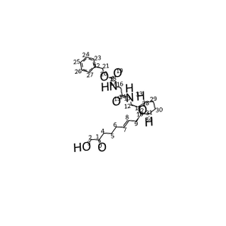 O=C(CO)CCCC=CC[C@H]1[C@@H](CNC(=O)CNC(=O)OCc2ccccc2)[C@H]2CC[C@@H]1O2